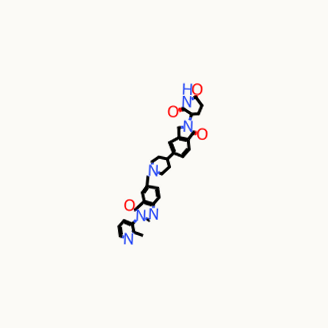 Cc1ncccc1-n1cnc2ccc(CN3CCC(c4ccc5c(c4)CN(C4CCC(=O)NC4=O)C5=O)CC3)cc2c1=O